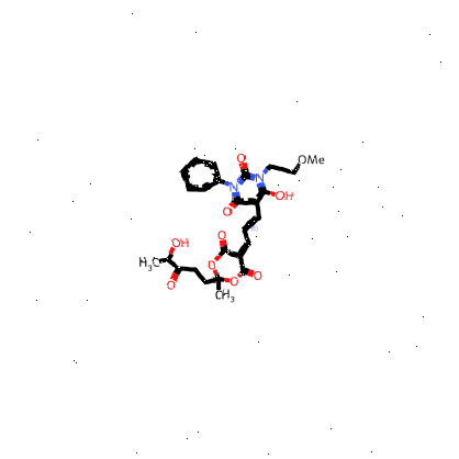 COCCn1c(O)c(/C=C/C=C2C(=O)OC(C)(CCC(=O)C(C)O)OC2=O)c(=O)n(-c2ccccc2)c1=O